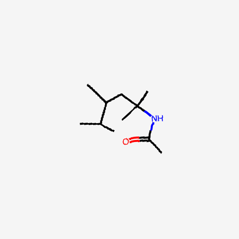 CC(=O)NC(C)(C)CC(C)C(C)C